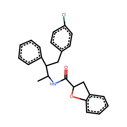 CC(NC(=O)C1Cc2ccccc2O1)C(Cc1ccc(Cl)cc1)c1ccccc1